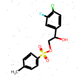 Cc1ccc(S(=O)(=O)OCC(O)c2ccc(Cl)c(F)c2)cc1